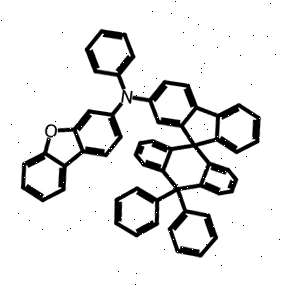 c1ccc(N(c2ccc3c(c2)C2(c4ccccc4-3)c3ccccc3C(c3ccccc3)(c3ccccc3)c3ccccc32)c2ccc3c(c2)oc2ccccc23)cc1